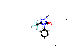 Cn1nc(C(F)(F)F)n(-c2ccccc2)c1=O